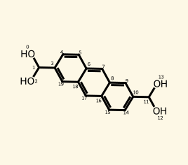 OC(O)c1ccc2cc3cc(C(O)O)ccc3cc2c1